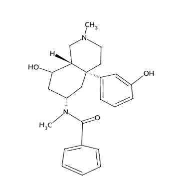 CN1CC[C@@]2(c3cccc(O)c3)C[C@H](N(C)C(=O)c3ccccc3)CC(O)[C@@H]2C1